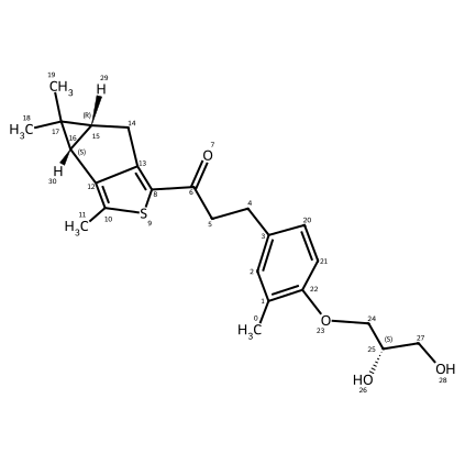 Cc1cc(CCC(=O)c2sc(C)c3c2C[C@@H]2[C@H]3C2(C)C)ccc1OC[C@@H](O)CO